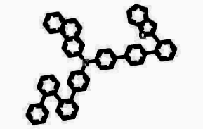 c1ccc(-c2ccccc2-c2ccccc2-c2ccc(N(c3ccc(-c4ccc(-c5ccccc5-c5cc6ccccc6o5)cc4)cc3)c3ccc4c(ccc5ccccc54)c3)cc2)cc1